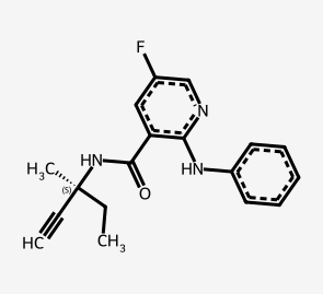 C#C[C@](C)(CC)NC(=O)c1cc(F)cnc1Nc1ccccc1